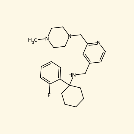 CN1CCN(Cc2cc(CNC3(c4ccccc4F)CCCCC3)ccn2)CC1